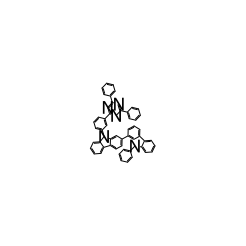 c1ccc(-c2nc(-c3ccccc3)nc(-c3cccc(-n4c5ccccc5c5ccc(-c6cccc7c8ccccc8n(-c8ccccc8)c67)cc54)c3)n2)cc1